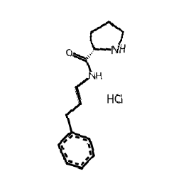 Cl.O=C(NCCCc1ccccc1)[C@@H]1CCCN1